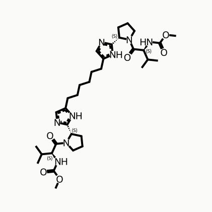 COC(=O)N[C@H](C(=O)N1CCC[C@H]1c1ncc(CCCCCCc2cnc([C@@H]3CCCN3C(=O)[C@@H](NC(=O)OC)C(C)C)[nH]2)[nH]1)C(C)C